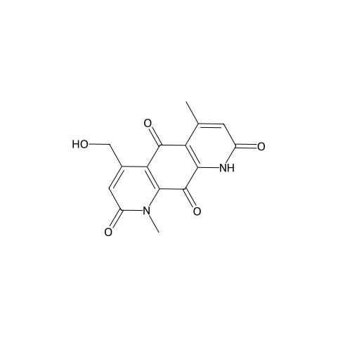 Cc1cc(=O)[nH]c2c1C(=O)c1c(CO)cc(=O)n(C)c1C2=O